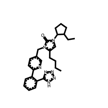 CCCCc1cn(C2CCCC2CC)c(=O)n1Cc1ccc(-c2ccccc2-c2nnn[nH]2)nc1